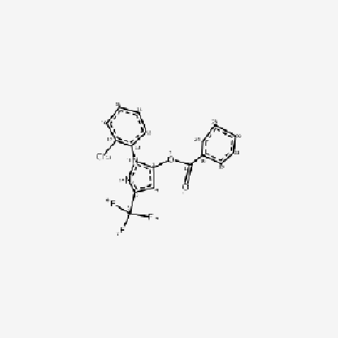 O=C(Oc1cc(C(F)(F)F)nn1-c1ccccc1Cl)c1ccccc1